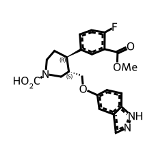 COC(=O)c1cc([C@@H]2CCN(C(=O)O)C[C@H]2COc2ccc3[nH]ncc3c2)ccc1F